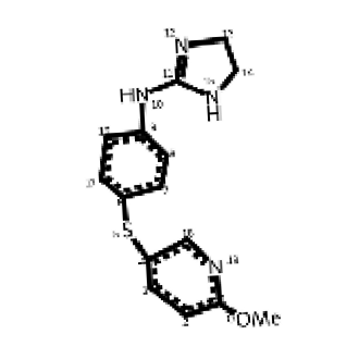 COc1ccc(Sc2ccc(NC3=NCCN3)cc2)cn1